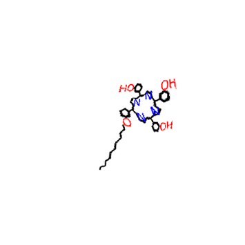 CCCCCCCCCCCCOc1cccc(C2=C3C=CC(=N3)C(c3cccc(O)c3)=C3C=CC(=N3)C(c3cccc(O)c3)=C3C=CC(=N3)C(c3cccc(O)c3)=C3C=CC2=N3)c1